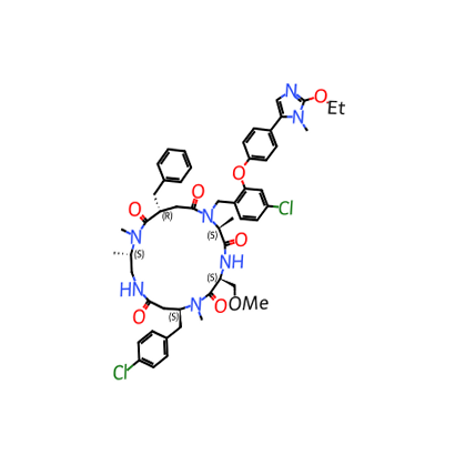 CCOc1ncc(-c2ccc(Oc3cc(Cl)ccc3CN3C(=O)C[C@@H](Cc4ccccc4)C(=O)N(C)[C@@H](C)CNC(=O)C[C@H](Cc4ccc(Cl)cc4)N(C)C(=O)[C@H](COC)NC(=O)[C@@H]3C)cc2)n1C